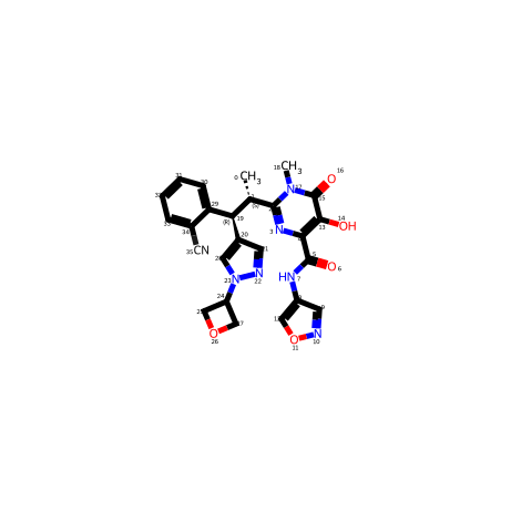 C[C@H](c1nc(C(=O)Nc2cnoc2)c(O)c(=O)n1C)[C@@H](c1cnn(C2COC2)c1)c1ccccc1C#N